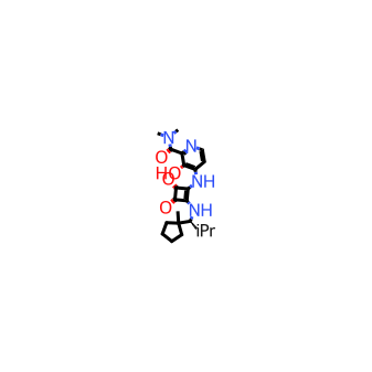 CC(C)[C@H](Nc1c(Nc2ccnc(C(=O)N(C)C)c2O)c(=O)c1=O)C1(C)CCCC1